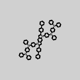 c1ccc(-c2ccc(-c3cc4cc5c(cc(-c6ccc(-c7ccccc7)cc6)n5-c5ccc(N(c6ccccc6)c6ccc(N(c7ccccc7)c7ccccc7)cc6)cc5)cc4n3-c3ccc(N(c4ccccc4)c4ccc(N(c5ccccc5)c5ccccc5)cc4)cc3)cc2)cc1